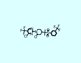 CC(C)([C@@H]1CCN(c2ncc(C(F)(F)F)c(Cl)n2)C(=O)C1)S(=O)(=O)c1cccc(C(F)(F)F)c1